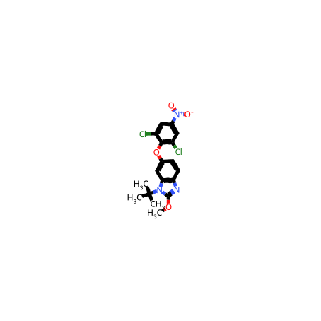 COc1nc2ccc(Oc3c(Cl)cc([N+](=O)[O-])cc3Cl)cc2n1C(C)(C)C